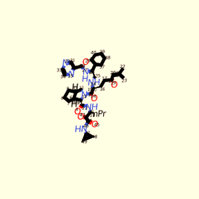 CCC[C@H](NC(=O)[C@@H]1[C@H]2CCC[C@H]2CN1C(=O)[C@H](CCC(=O)C=C(C)C)NC[C@@H](NC(=O)c1cnccn1)C1CCCCC1)C(=O)C(=O)NC1CC1